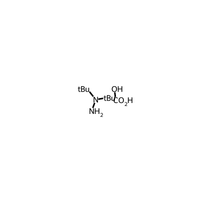 CC(C)(C)N(N)C(C)(C)C.O=C(O)O